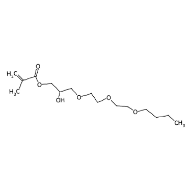 C=C(C)C(=O)OCC(O)COCCOCCOCCCC